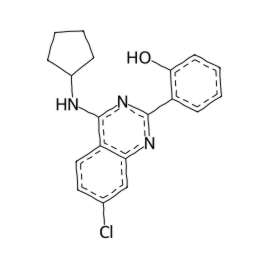 Oc1ccccc1-c1nc(NC2CCCC2)c2ccc(Cl)cc2n1